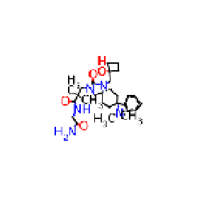 CN(C)[C@]1(c2ccccc2)CC[C@]2(CC1)CN(CC(C)(C)C(=O)NCC(N)=O)C(=O)N2CC1(O)CCC1